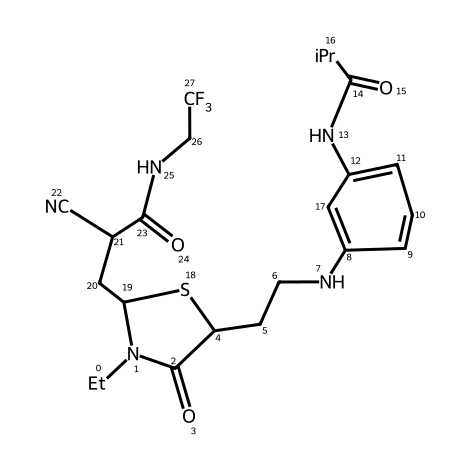 CCN1C(=O)C(CCNc2cccc(NC(=O)C(C)C)c2)SC1CC(C#N)C(=O)NCC(F)(F)F